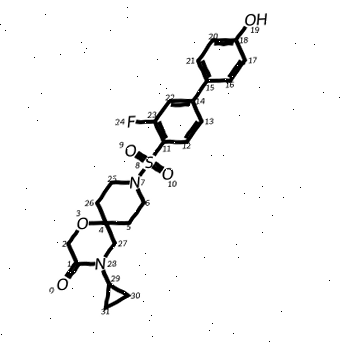 O=C1COC2(CCN(S(=O)(=O)c3ccc(-c4c[c]c(O)cc4)cc3F)CC2)CN1C1CC1